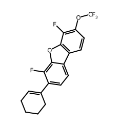 Fc1c(OC(F)(F)F)ccc2c1oc1c(F)c(C3=CCCCC3)ccc12